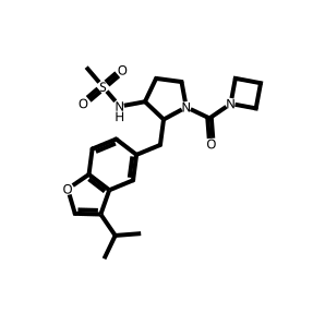 CC(C)c1coc2ccc(CC3C(NS(C)(=O)=O)CCN3C(=O)N3CCC3)cc12